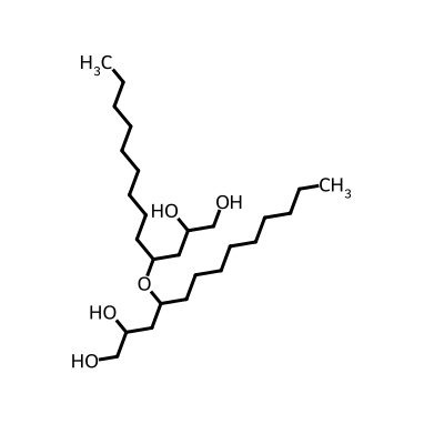 CCCCCCCCCC(CC(O)CO)OC(CCCCCCCCC)CC(O)CO